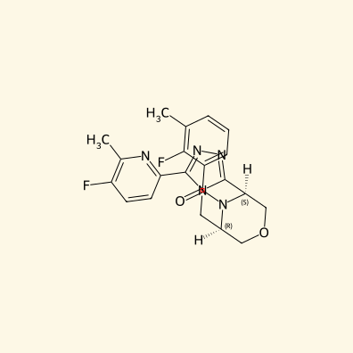 Cc1cccc(C(=O)N2[C@H]3COC[C@@H]2c2nnc(-c4ccc(F)c(C)n4)n2C3)c1F